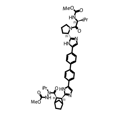 COC(=O)N[C@H](C(=O)N1CCC[C@H]1c1ncc(-c2ccc(-c3ccc(-c4cnc([C@H]5C6CCC(C6)[C@H]5C(=O)N(NC(=O)OC)C(C)C)[nH]4)cc3)cc2)[nH]1)C(C)C